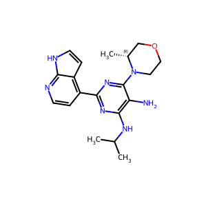 CC(C)Nc1nc(-c2ccnc3[nH]ccc23)nc(N2CCOC[C@H]2C)c1N